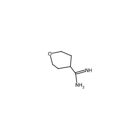 N=C(N)C1CCOCC1